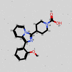 COc1ccccc1-c1nc(C2CCN(C(=O)O)CC2)n2ccccc12